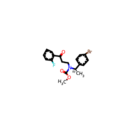 COC(=O)N(CCC(=O)c1ccccc1F)[C@@H](C)c1ccc(Br)cc1